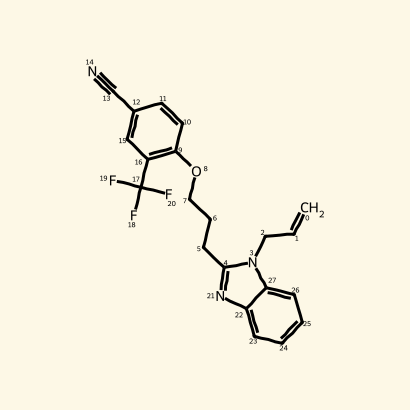 C=CCn1c(CCCOc2ccc(C#N)cc2C(F)(F)F)nc2ccccc21